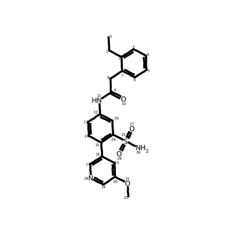 CCc1ccccc1CC(=O)Nc1ccc(-c2cncc(OC)c2)c(S(N)(=O)=O)c1